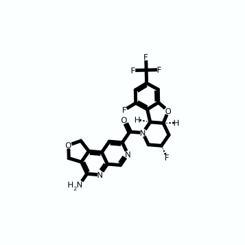 Nc1nc2cnc(C(=O)N3C[C@@H](F)C[C@@H]4Oc5cc(C(F)(F)F)cc(F)c5[C@@H]43)cc2c2c1COC2